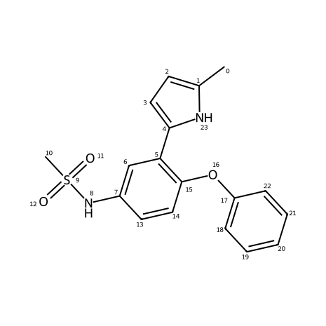 Cc1ccc(-c2cc(NS(C)(=O)=O)ccc2Oc2ccccc2)[nH]1